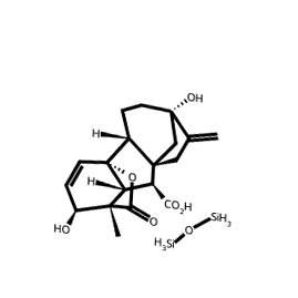 C=C1C[C@]23C[C@@]1(O)CC[C@H]2[C@@]12C=C[C@H](O)[C@@](C)(C(=O)O1)[C@H]2[C@@H]3C(=O)O.[SiH3]O[SiH3]